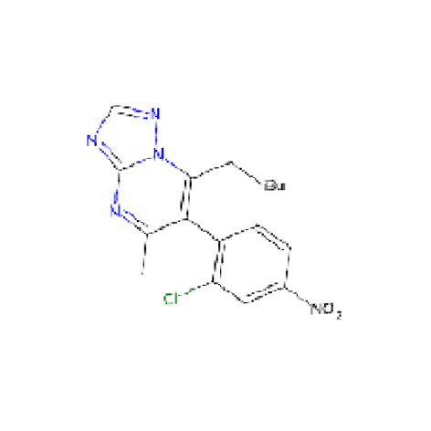 CCC(C)Cc1c(-c2ccc([N+](=O)[O-])cc2Cl)c(C)nc2ncnn12